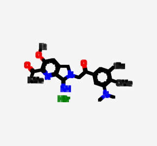 Br.CCOc1cc2c(nc1C(=O)NC)C(=N)N(CC(=O)c1cc(N(C)C)c(OC)c(C(C)(C)C)c1)C2